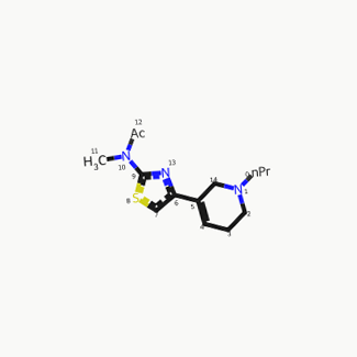 CCCN1CCC=C(c2csc(N(C)C(C)=O)n2)C1